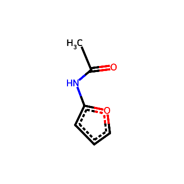 CC(=O)Nc1ccco1